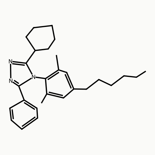 CCCCCCc1cc(C)c(-n2c(-c3ccccc3)nnc2C2CCCCC2)c(C)c1